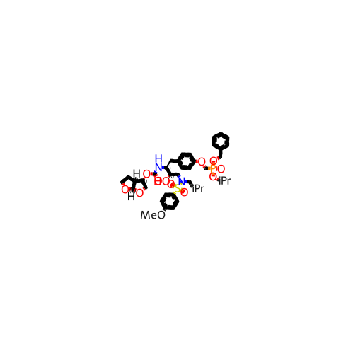 COc1ccc(S(=O)(=O)N(CC(C)C)C[C@@H](O)[C@H](Cc2ccc(OCP(=O)(OCc3ccccc3)OC(C)C)cc2)NC(=O)O[C@H]2CO[C@H]3OCC[C@H]32)cc1